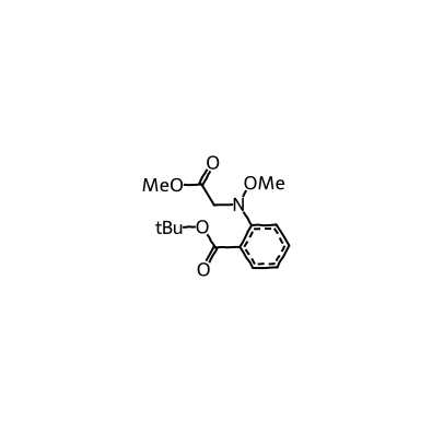 COC(=O)CN(OC)c1ccccc1C(=O)OC(C)(C)C